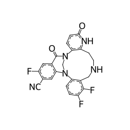 N#Cc1cc2c(cc1F)C(=O)N1CN2c2ccc(F)c(F)c2CNCCc2[nH]c(=O)ccc21